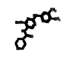 CNc1nc(Nc2ccc(C)c(C)c2)ncc1NC(=O)N1CCOCC1